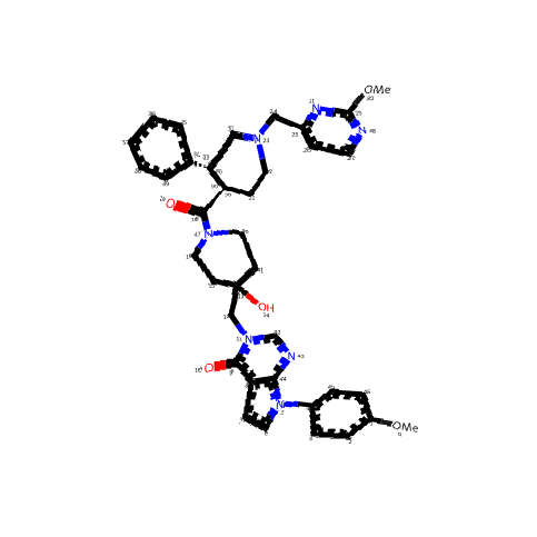 COc1ccc(-n2ccc3c(=O)n(CC4(O)CCN(C(=O)[C@@H]5CCN(Cc6ccnc(OC)n6)C[C@H]5c5ccccc5)CC4)cnc32)cc1